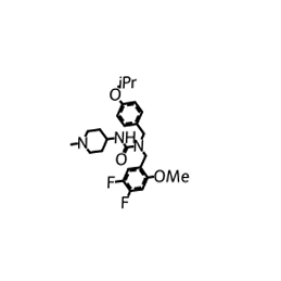 COc1cc(F)c(F)cc1CN(Cc1ccc(OC(C)C)cc1)C(=O)NC1CCN(C)CC1